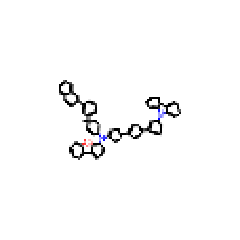 CC1(c2cccc(-c3ccc4ccccc4c3)c2)C=CC(N(c2ccc(-c3ccc(-c4cccc(-n5c6ccccc6c6ccccc65)c4)cc3)cc2)c2cccc3c2oc2ccccc23)=CC1